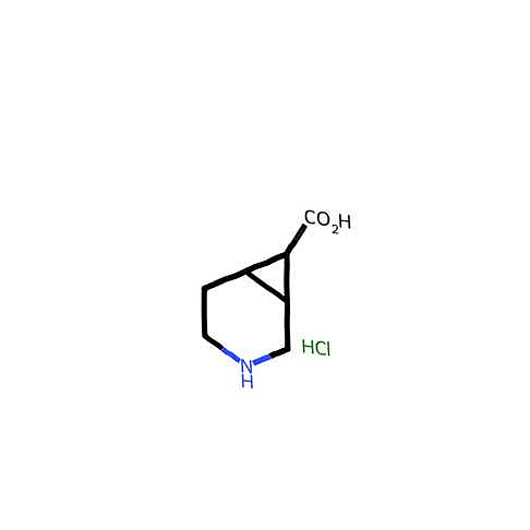 Cl.O=C(O)C1C2CCNCC21